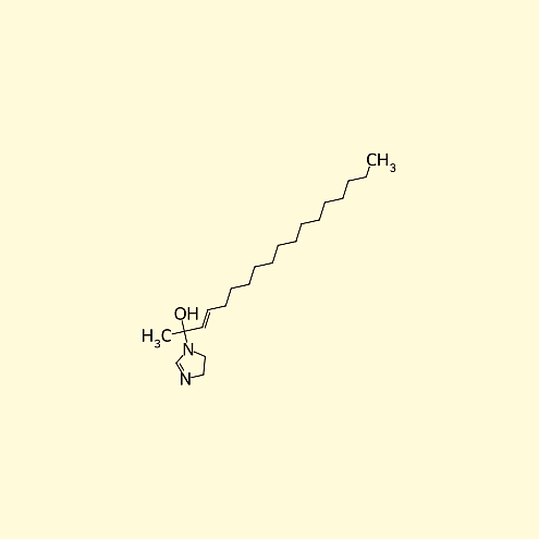 CCCCCCCCCCCCCCC=CC(C)(O)N1C=NCC1